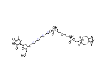 Cc1cn([C@H]2CC(O/C=C/C=C/C=C/C=C/OP(=O)(O)OCCOCCNC(=O)OCC3[C@H]4CCc5nnn(C)c5CC[C@@H]34)[C@@H](CO)O2)c(=O)[nH]c1=O